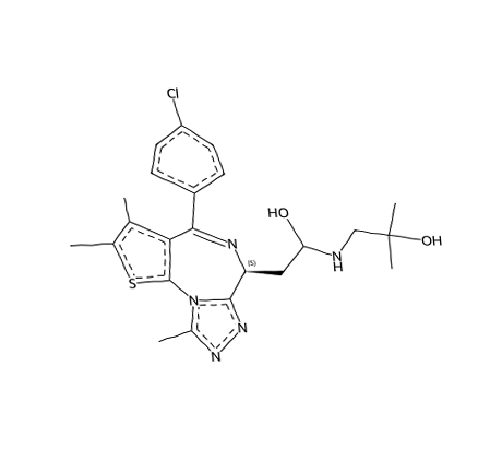 Cc1sc2c(c1C)C(c1ccc(Cl)cc1)=N[C@@H](CC(O)NCC(C)(C)O)c1nnc(C)n1-2